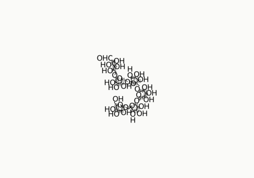 O=C[C@H](O)[C@@H](O)[C@H](O)[C@H](O)CO[C@H]1O[C@H](CO[C@H]2O[C@H](CO[C@H]3O[C@H](CO[C@H]4O[C@H](CO[C@H]5O[C@H](CO)[C@@H](O)[C@H](O)[C@H]5O)[C@@H](O)[C@H](O)[C@H]4O)[C@@H](O)[C@H](O)[C@H]3O)[C@@H](O)[C@H](O)[C@H]2O)[C@@H](O)[C@H](O)[C@H]1O